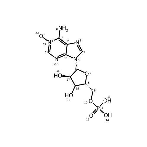 Nc1c2ncn([C@@H]3O[C@H](COP(=O)(O)O)C(O)[C@H]3O)c2nc[n+]1[O-]